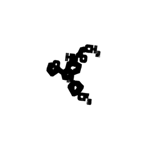 C=CC(=O)Nc1ccc2c(c1)c(-c1ccco1)cn2-c1ccc(C(F)(F)F)cc1